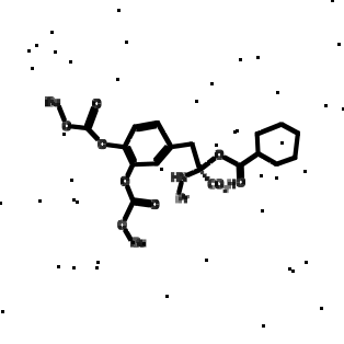 CCC(C)OC(=O)Oc1ccc(C[C@](NC(C)C)(OC(=O)C2CCCCC2)C(=O)O)cc1OC(=O)OC(C)CC